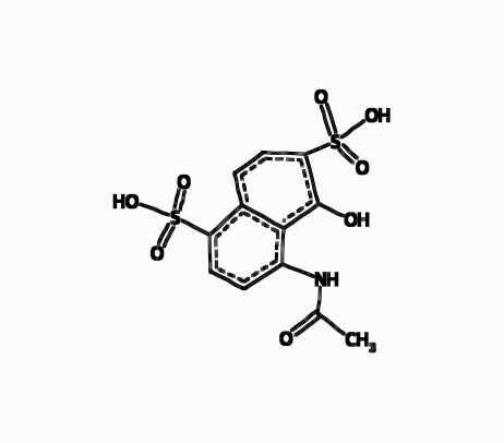 CC(=O)Nc1ccc(S(=O)(=O)O)c2ccc(S(=O)(=O)O)c(O)c12